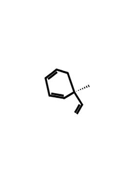 C=C[C@@]1(C)C=CC=CC1